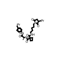 CC(C)Cc1ccc(NC(=O)[C@H](C)NC(=O)C2(C(=O)NCCCCCN3C(=O)CC(C(C)C)C3=O)CCC2)cc1